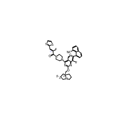 N#Cc1cccc2cccc(-c3ncc4c(N5CCN(C(=O)/C(F)=C/c6nccs6)CC5)nc(OC[C@@]56CCCN5C[C@H](F)C6)nc4c3F)c12